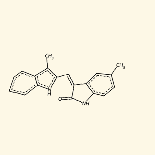 Cc1ccc2c(c1)/C(=C/c1[nH]c3ccccc3c1C)C(=O)N2